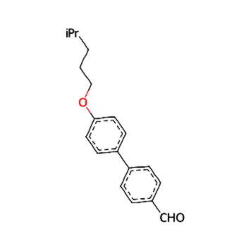 CC(C)CCCOc1ccc(-c2ccc(C=O)cc2)cc1